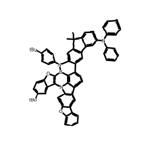 CC(C)(C)c1ccc(N2B3c4oc5ccc(C(C)(C)C)cc5c4-n4c5cc6oc7ccccc7c6cc5c5ccc(c3c54)-c3cc4c(cc32)C(C)(C)c2ccc(N(c3ccccc3)c3ccccc3)cc2-4)cc1